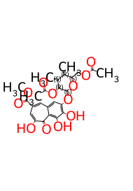 COC(=O)c1cc(O)c(=O)c2c(O)c(O)c(O[C@@H]3O[C@H](COC(C)=O)[C@H](C)[C@H](C)[C@H]3OC(C)=O)cc2c1